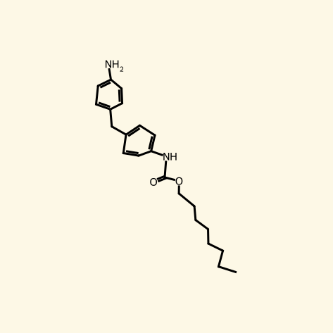 CCCCCCCCOC(=O)Nc1ccc(Cc2ccc(N)cc2)cc1